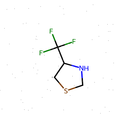 FC(F)(F)C1[CH]SCN1